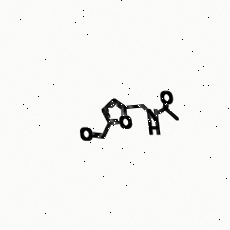 CC(=O)NCc1ccc(C=O)o1